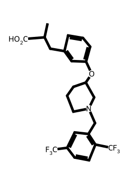 CC(Cc1cccc(OC2CCCN(Cc3cc(C(F)(F)F)ccc3C(F)(F)F)C2)c1)C(=O)O